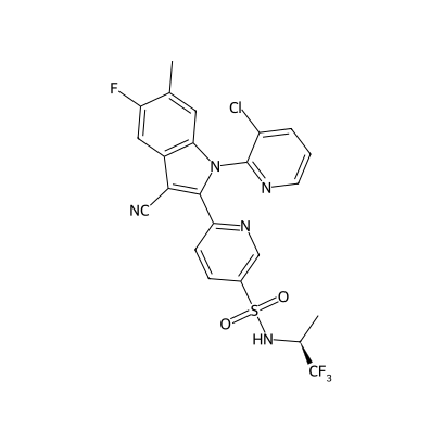 Cc1cc2c(cc1F)c(C#N)c(-c1ccc(S(=O)(=O)N[C@@H](C)C(F)(F)F)cn1)n2-c1ncccc1Cl